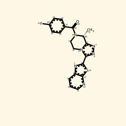 C[C@@H]1c2nnc(-c3nc4cccnc4s3)n2CCN1C(=O)c1ccc(F)cc1